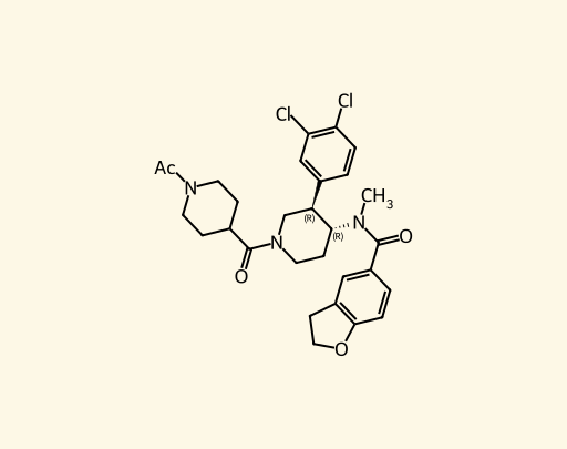 CC(=O)N1CCC(C(=O)N2CC[C@@H](N(C)C(=O)c3ccc4c(c3)CCO4)[C@H](c3ccc(Cl)c(Cl)c3)C2)CC1